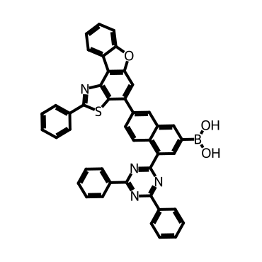 OB(O)c1cc(-c2nc(-c3ccccc3)nc(-c3ccccc3)n2)c2ccc(-c3cc4oc5ccccc5c4c4nc(-c5ccccc5)sc34)cc2c1